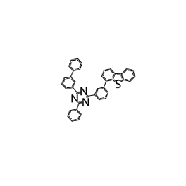 c1ccc(-c2cccc(-c3nc(-c4ccccc4)nc(-c4cccc(-c5cccc6c5sc5ccccc56)c4)n3)c2)cc1